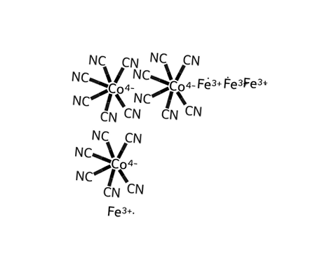 N#[C][Co-4]([C]#N)([C]#N)([C]#N)([C]#N)[C]#N.N#[C][Co-4]([C]#N)([C]#N)([C]#N)([C]#N)[C]#N.N#[C][Co-4]([C]#N)([C]#N)([C]#N)([C]#N)[C]#N.[Fe+3].[Fe+3].[Fe+3].[Fe+3]